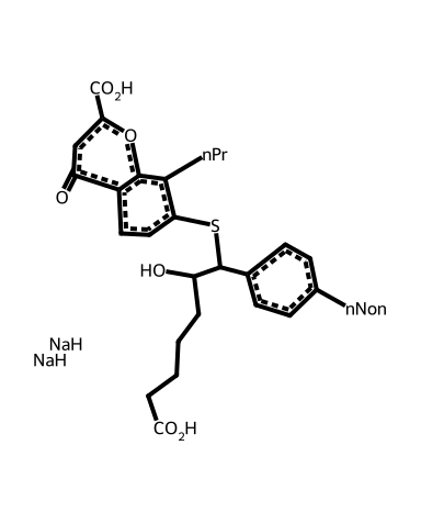 CCCCCCCCCc1ccc(C(Sc2ccc3c(=O)cc(C(=O)O)oc3c2CCC)C(O)CCCCC(=O)O)cc1.[NaH].[NaH]